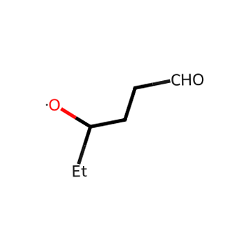 CCC([O])CCC=O